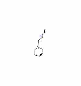 F/C=C/CN1CC=CCC1